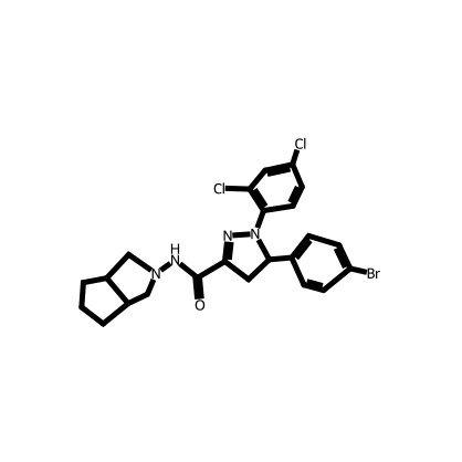 O=C(NN1CC2CCCC2C1)C1=NN(c2ccc(Cl)cc2Cl)C(c2ccc(Br)cc2)C1